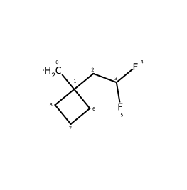 [CH2]C1(CC(F)F)CCC1